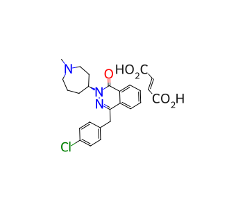 CN1CCC[C@H](n2nc(Cc3ccc(Cl)cc3)c3ccccc3c2=O)CC1.O=C(O)C=CC(=O)O